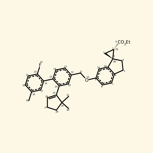 CCOC(=O)[C@H]1C[C@]12CCc1ccc(OCc3ccc(-c4cc(C)ccc4F)c(C4=CCCC4(C)C)c3)cc12